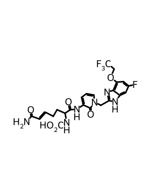 NC(=O)C=CCCC(NC(=O)O)C(=O)Nc1cccn(Cc2nc3c(OCC(F)(F)F)cc(F)cc3[nH]2)c1=O